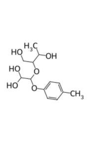 Cc1ccc(OC(OC(CO)C(C)O)C(O)O)cc1